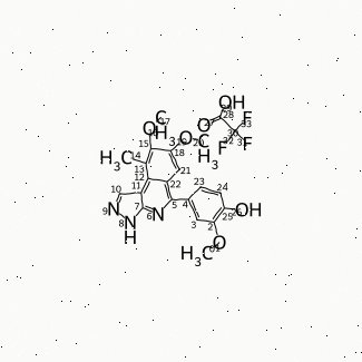 COc1cc(-c2nc3[nH]ncc3c3c(C)c(OC)c(OC)cc23)ccc1O.O=C(O)C(F)(F)F